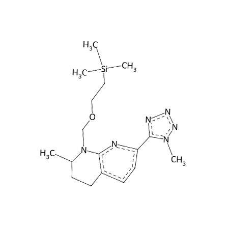 CC1CCc2ccc(-c3nnnn3C)nc2N1COCC[Si](C)(C)C